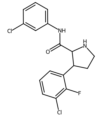 O=C(Nc1cccc(Cl)c1)C1NCCC1c1cccc(Cl)c1F